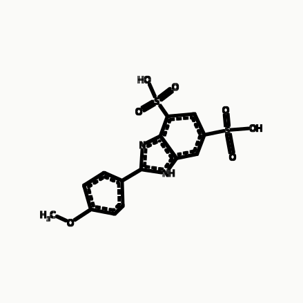 COc1ccc(-c2nc3c(S(=O)(=O)O)cc(S(=O)(=O)O)cc3[nH]2)cc1